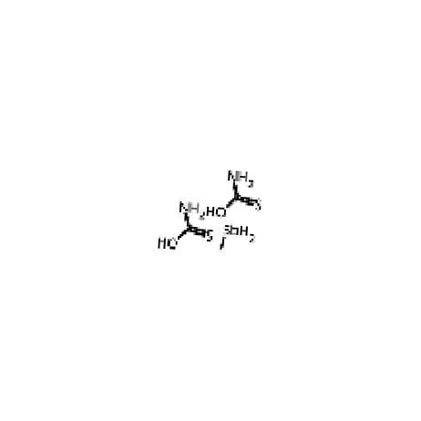 NC(O)=S.NC(O)=S.[CH3][SbH2]